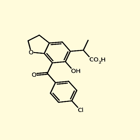 CC(C(=O)O)c1cc2c(c(C(=O)c3ccc(Cl)cc3)c1O)OCC2